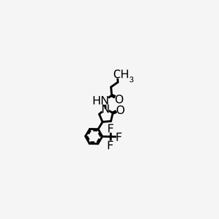 CCCC(=O)NN1CC(c2ccccc2C(F)(F)F)CC1=O